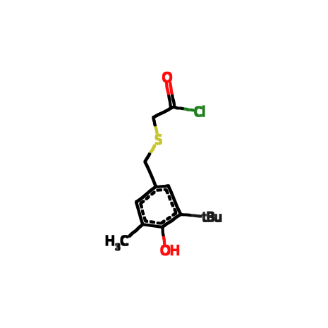 Cc1cc(CSCC(=O)Cl)cc(C(C)(C)C)c1O